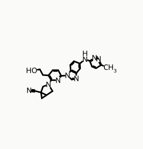 Cc1ccc(Nc2ccc3c(c2)ncn3-c2ccc(CCO)c(N3CC4CC4(C#N)C3)n2)nn1